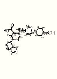 O=C1NCc2c(-c3ccnn4cccc34)ncc(Nc3ccc(N4CCC(O)CC4)cn3)c21